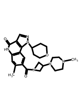 Cc1cc2[nH]c(=O)c3cnn(C4CCOCC4)c3c2cc1C(=O)N1CC(N2CCN(C)CC2)C1